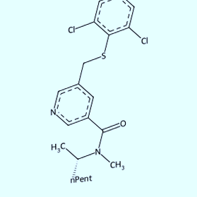 CCCCC[C@H](C)N(C)C(=O)c1cncc(CSc2c(Cl)cccc2Cl)c1